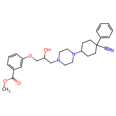 COC(=O)c1cccc(OCC(O)CN2CCN(C3CCC(C#N)(c4ccccc4)CC3)CC2)c1